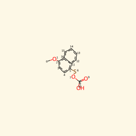 COc1ccc(SOC(=O)O)c2ccccc12